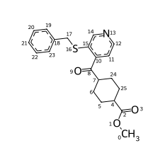 COC(=O)C1CCC(C(=O)c2ccncc2SCc2ccccc2)CC1